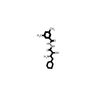 Cc1cc(C)cc(C(=O)NNC(=O)C(O)[C@H](N)CC2CCCCC2)c1